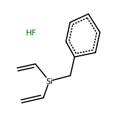 C=C[Si](C=C)Cc1ccccc1.F